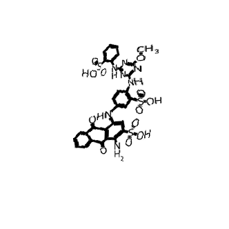 COc1nc(Nc2ccccc2S(=O)(=O)O)nc(Nc2ccc(Nc3cc(S(=O)(=O)O)c(N)c4c3C(=O)c3ccccc3C4=O)cc2S(=O)(=O)O)n1